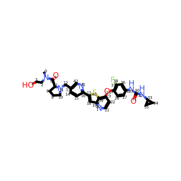 CN(CCO)C(=O)C1CCCN1Cc1ccc(-c2cc3nccc(Oc4ccc(NC(=O)NC5CC5)cc4F)c3s2)nc1